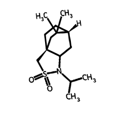 CC(C)N1C2C[C@H]3CC[C@@]2(CC3(C)C)CS1(=O)=O